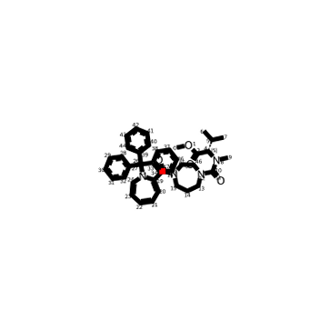 COC(=O)[C@H](C(C)C)N(C)C(=O)N1CCCN(C(=O)C2=CC=CC=CN2C(c2ccccc2)(c2ccccc2)c2ccccc2)CC1